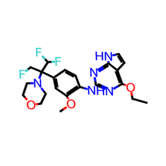 CCOc1nc(Nc2ccc(C(CF)(C(F)F)N3CCOCC3)cc2OC)nc2[nH]ccc12